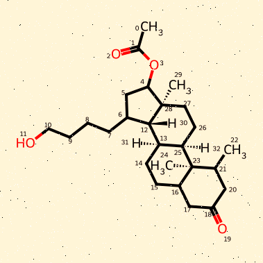 CC(=O)OC1CC(CCCCO)[C@H]2[C@@H]3CCC4CC(=O)CC(C)[C@]4(C)[C@@H]3CC[C@]12C